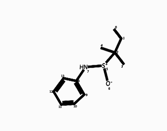 CCC(C)(C)[S+]([O-])Nc1ccccc1